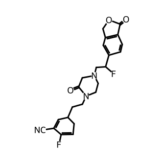 N#CC1=CC(CCN2CCN(CC(F)c3ccc4c(c3)COC4=O)CC2=O)CC=C1F